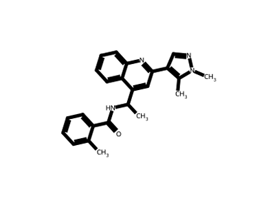 Cc1ccccc1C(=O)NC(C)c1cc(-c2cnn(C)c2C)nc2ccccc12